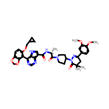 COc1ccc(C2=NN(C3CCN(C(=O)[C@@H](C)NC(=O)c4c[nH]c5c(-c6c(OCC7CC7)ccc7c6OCO7)ncnc45)CC3)C(=O)C(C)(C)C2)cc1OC